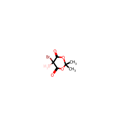 BC1(Br)C(=O)OC(C)(C)OC1=O